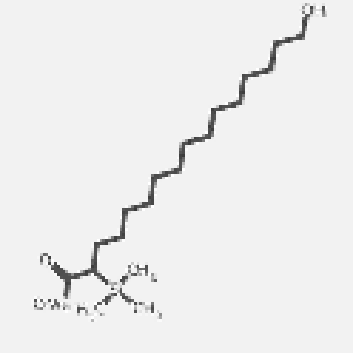 COC(=O)C(CCCCCCCCCCCCCCO)[Si](C)(C)C